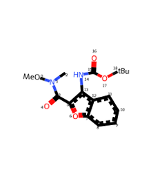 CON(C)C(=O)c1oc2ccccc2c1NC(=O)OC(C)(C)C